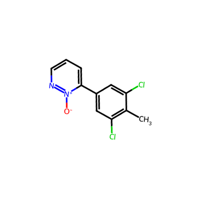 Cc1c(Cl)cc(-c2cccn[n+]2[O-])cc1Cl